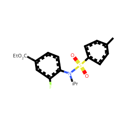 CCOC(=O)c1ccc(N(C(C)C)S(=O)(=O)c2ccc(C)cc2)c(F)c1